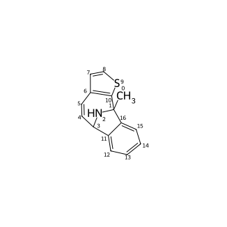 CC12NC(C=Cc3ccsc31)c1ccccc12